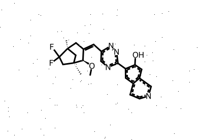 CO[C@@H]1/C(=C\c2cnc(-c3cc4ccncc4cc3O)nn2)C[C@@]2(C)C[C@]1(C)CC2(F)F